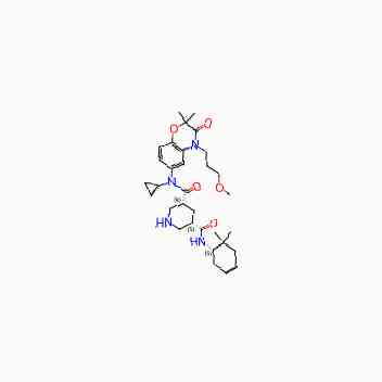 COCCCN1C(=O)C(C)(C)Oc2ccc(N(C(=O)[C@H]3CNC[C@@H](C(=O)N[C@H]4CCCCC4(C)C)C3)C3CC3)cc21